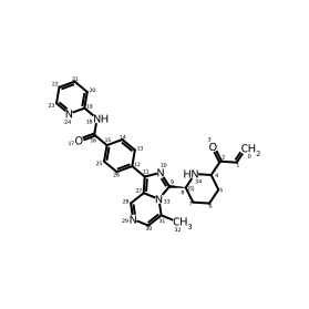 C=CC(=O)C1CCC[C@@H](c2nc(-c3ccc(C(=O)Nc4ccccn4)cc3)c3cncc(C)n23)N1